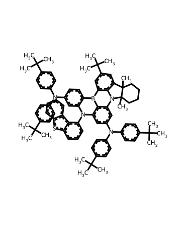 CC(C)(C)c1ccc(N(c2ccc(C(C)(C)C)cc2)c2ccc3c(c2)N(c2cccc4sc5ccccc5c24)c2cc(N(c4ccc(C(C)(C)C)cc4)c4ccc(C(C)(C)C)cc4)cc4c2B3c2cc(C(C)(C)C)cc3c2N4C2(C)CCCCC32C)cc1